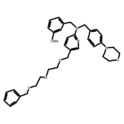 COc1cccc(CN(Cc2ccc(N3CCOCC3)cc2)c2ccc(COCCOCCOCc3ccccc3)cn2)c1